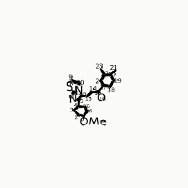 COc1ccc(-c2nc3sccn3c2C=CC(=O)c2ccc(C)c(C)c2)cc1